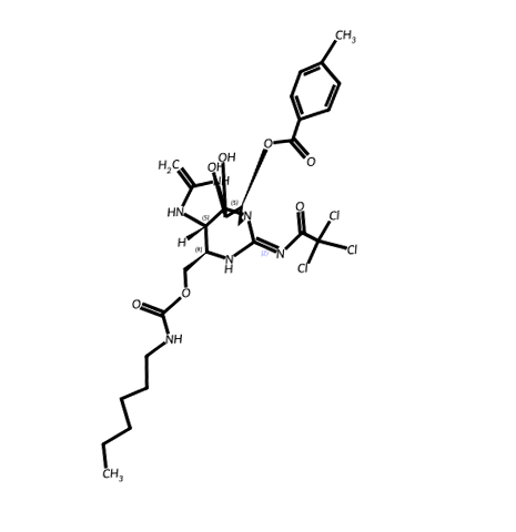 C=C1N[C@H]2[C@H](COC(=O)NCCCCCC)N/C(=N/C(=O)C(Cl)(Cl)Cl)N3C[C@H](OC(=O)c4ccc(C)cc4)C(O)(O)C23N1